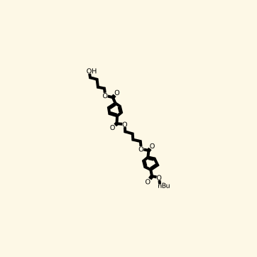 CCCCOC(=O)c1ccc(C(=O)OCCCCOC(=O)c2ccc(C(=O)OCCCCO)cc2)cc1